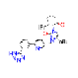 CCCCc1cn(C2C(=O)CCCC2C(C)C)c(=O)n1Cc1ccc(-c2cccc(-c3nnn[nH]3)c2)nc1